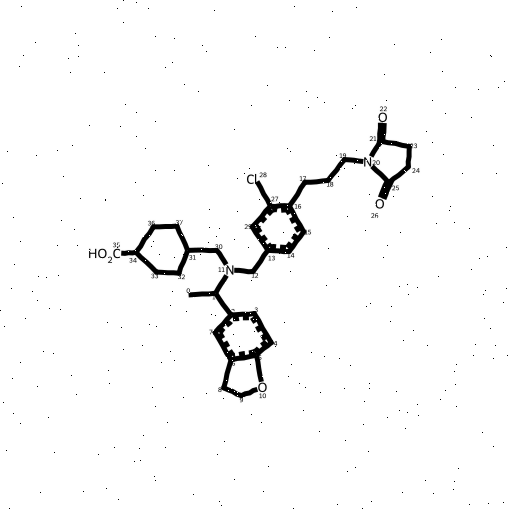 CC(c1ccc2c(c1)CCO2)N(Cc1ccc(CCCN2C(=O)CCC2=O)c(Cl)c1)CC1CCC(C(=O)O)CC1